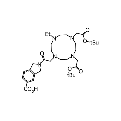 CCN1CCN(CC(=O)OC(C)(C)C)CCN(CC(=O)OC(C)(C)C)CCN(CC(=O)N2Cc3ccc(C(=O)O)cc3C2)CC1